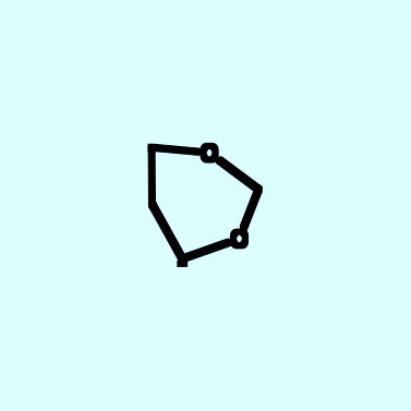 [C]1CCOCO1